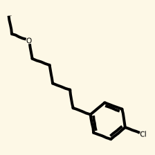 [CH2]COCCCCCc1ccc(Cl)cc1